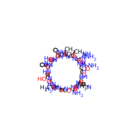 CCCC[C@H]1C(=O)N(C)[C@@H](CCCC)C(=O)N[C@@H](CCCNC(=N)N)C(=O)N[C@H](C(=O)NCC(N)=O)CSCC(=O)N[C@@H](Cc2cccc(C#N)c2)C(=O)N(C)[C@@H](C)C(=O)N[C@@H](CC(N)=O)C(=O)N2CCC[C@H]2C(=O)N[C@@H](CN)C(=O)N[C@@H](CC(C)C)C(=O)N2C[C@H](O)C[C@H]2C(=O)N[C@@H](Cc2c[nH]c3ccccc23)C(=O)N[C@@H](CO)C(=O)N[C@@H](Cc2c[nH]c3ccccc23)C(=O)N1C